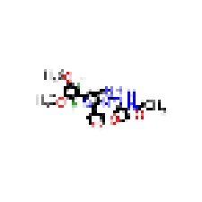 C=CC(=O)N[C@H]1CCOC[C@H]1Nc1ncc2cc(-c3c(F)c(OC)cc(OC)c3F)nc(C3CCOCC3)c2n1